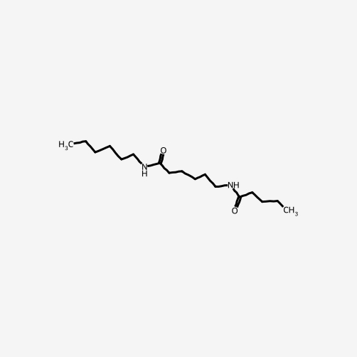 CCCCCCNC(=O)CCCCCNC(=O)CCCC